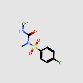 CCCNC(=O)N(C)S(=O)(=O)c1ccc(Cl)cc1